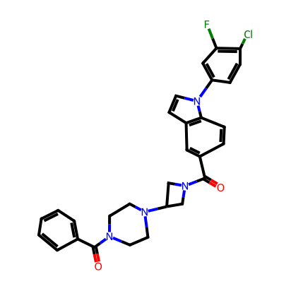 O=C(c1ccccc1)N1CCN(C2CN(C(=O)c3ccc4c(ccn4-c4ccc(Cl)c(F)c4)c3)C2)CC1